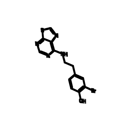 Oc1ccc(CCNc2ncnc3scnc23)cc1Br